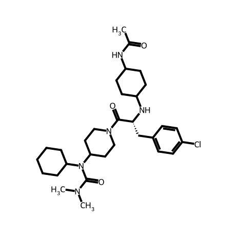 CC(=O)NC1CCC(N[C@H](Cc2ccc(Cl)cc2)C(=O)N2CCC(N(C(=O)N(C)C)C3CCCCC3)CC2)CC1